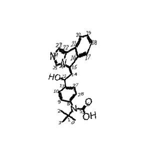 CC(C)(C)N(C(=O)O)c1ccc(C(O)CC2c3ccccc3-c3cncn32)cc1